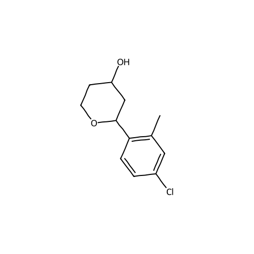 Cc1cc(Cl)ccc1C1CC(O)CCO1